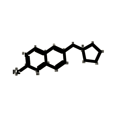 FC(F)(F)c1ncc2cc(CN3CCCC3)ccc2n1